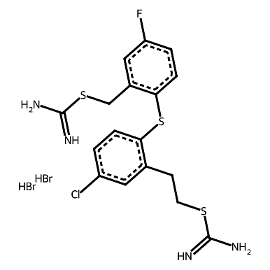 Br.Br.N=C(N)SCCc1cc(Cl)ccc1Sc1ccc(F)cc1CSC(=N)N